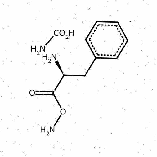 NC(=O)O.NOC(=O)[C@@H](N)Cc1ccccc1